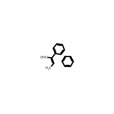 CC=C(C=O)c1ccccc1.c1ccccc1